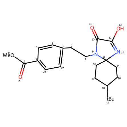 COC(=O)c1ccc(CCN2C(=O)C(O)=NC23CCC(C(C)(C)C)CC3)cc1